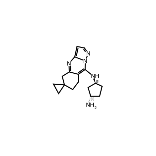 N[C@H]1CC[C@H](Nc2c3c(nc4ccnn24)CC2(CC3)CC2)C1